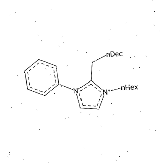 CCCCCCCCCCCc1n(-c2ccccc2)cc[n+]1CCCCCC